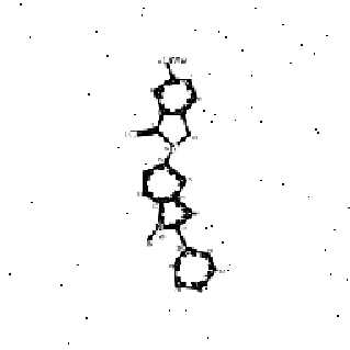 COc1ccc2c(c1)C(=O)N(c1ccc3c(c1)cc(-c1ccccc1)n3C)C2